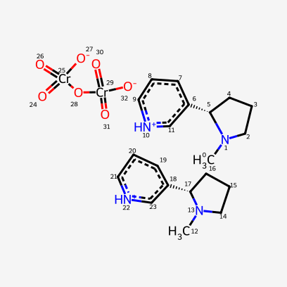 CN1CCC[C@H]1c1ccc[nH+]c1.CN1CCC[C@H]1c1ccc[nH+]c1.[O]=[Cr](=[O])([O-])[O][Cr](=[O])(=[O])[O-]